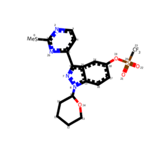 CSc1nccc(-c2nn(C3CCCCO3)c3ccc(OS(=O)(=O)C(F)(F)F)cc23)n1